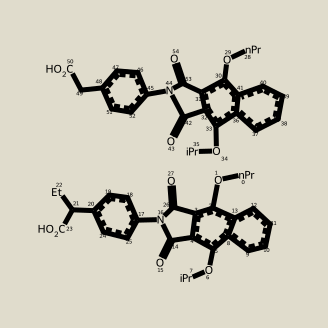 CCCOc1c2c(c(OC(C)C)c3ccccc13)C(=O)N(c1ccc(C(CC)C(=O)O)cc1)C2=O.CCCOc1c2c(c(OC(C)C)c3ccccc13)C(=O)N(c1ccc(CC(=O)O)cc1)C2=O